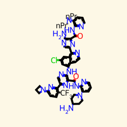 CCCN(CCC)c1cccnc1NC(=O)c1nc(-c2nccc3c(Nc4ncc(-c5nc(N6CCC6)ccc5C(F)(F)F)nc4C(=O)Nc4ncccc4N4CCC(N)CC4)cc(Cl)cc23)cnc1N